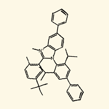 Cc1ccc(C(C)(C)C)cc1-c1n(-c2c(C(C)C)cc(-c3ccccc3)cc2C(C)C)c2ccc(-c3ccccc3)cc2[n+]1C